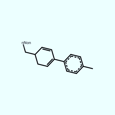 CCCCCCCCCCC1C=CC(c2ccc(C)cc2)=CC1